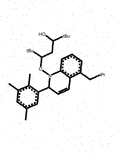 Cc1cc(C)c(C)c(C2C=Cc3c(CC(C)C)cccc3N2OC(CC(O)C(C)(C)C)C(C)(C)C)c1